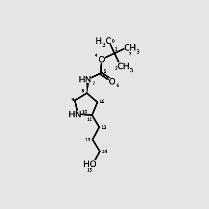 CC(C)(C)OC(=O)N[C@@H]1CNC(CCCO)C1